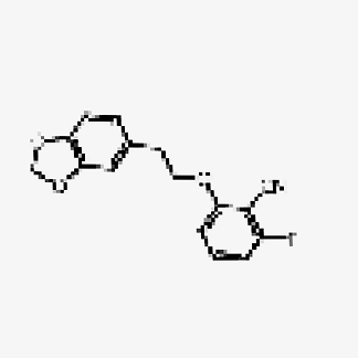 N#Cc1c(F)cccc1OCCc1ccc2c(c1)OCO2